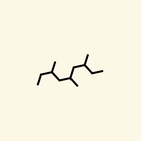 CCC(C)C[C](C)CC(C)CC